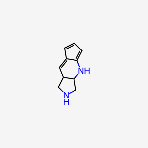 C1=CC2=CC3CNCC3NC2=C1